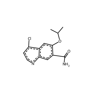 CC(C)Oc1cc2c(Cl)ccnc2cc1C(N)=O